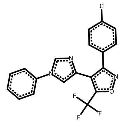 FC(F)(F)c1onc(-c2ccc(Cl)cc2)c1-c1cn(-c2cc[c]cc2)cn1